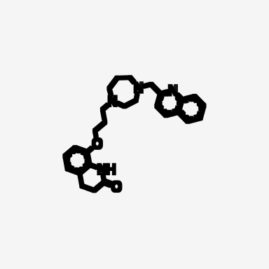 O=C1CCc2cccc(OCCCN3CCCN(Cc4ccc5ccccc5n4)CC3)c2N1